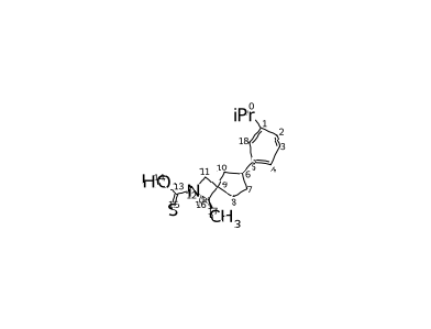 CC(C)c1cccc(C2CCC3(C2)CN(C(O)=S)[C@@H]3C)c1